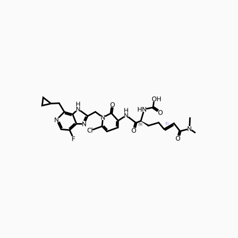 CN(C)C(=O)/C=C/CC[C@H](NC(=O)O)C(=O)Nc1ccc(Cl)n(Cc2nc3c(F)cnc(CC4CC4)c3[nH]2)c1=O